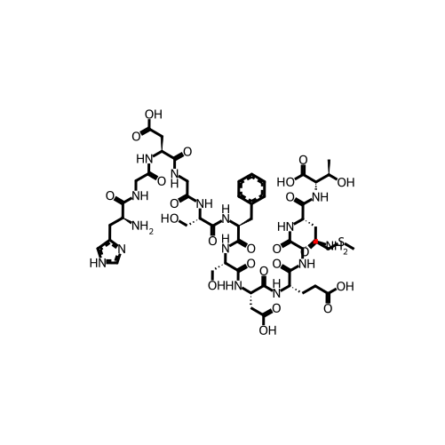 CSCC[C@H](NC(=O)[C@H](CCC(=O)O)NC(=O)[C@H](CC(=O)O)NC(=O)[C@H](CO)NC(=O)[C@H](Cc1ccccc1)NC(=O)[C@H](CO)NC(=O)CNC(=O)[C@H](CC(=O)O)NC(=O)CNC(=O)[C@@H](N)Cc1c[nH]cn1)C(=O)N[C@@H](CC(N)=O)C(=O)N[C@H](C(=O)O)[C@@H](C)O